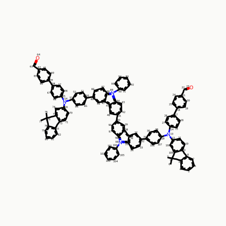 CC1(C)c2ccccc2-c2ccc(N(c3ccc(-c4ccc(C=O)cc4)cc3)c3ccc(-c4ccc5c(c4)c4cc(-c6ccc7c(c6)c6cc(-c8ccc(N(c9ccc(-c%10ccc(C=O)cc%10)cc9)c9ccc%10c(c9)C(C)(C)c9ccccc9-%10)cc8)ccc6n7-c6ccccc6)ccc4n5-c4ccccc4)cc3)cc21